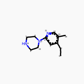 CCc1cc(N2CCNCC2)ncc1C